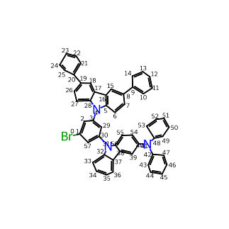 Brc1cc(-n2c3ccc(-c4ccccc4)cc3c3cc(-c4ccccc4)ccc32)cc(-n2c3ccccc3c3cc(N(c4ccccc4)c4ccccc4)ccc32)c1